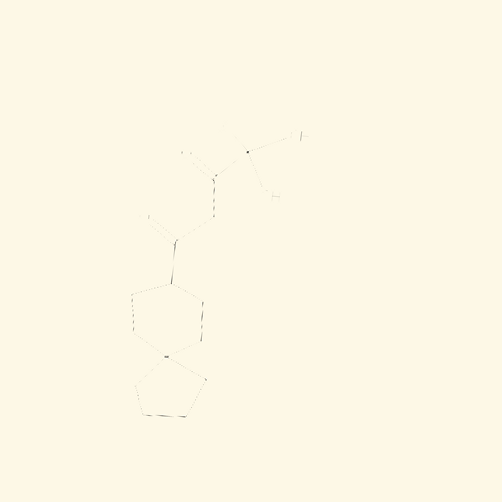 CC(C)(C(=O)CC(=O)C1CCC2(CCCC2)CC1)C(F)(F)F